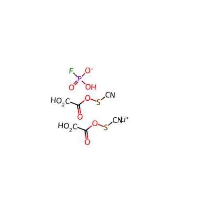 N#CSOC(=O)C(=O)O.N#CSOC(=O)C(=O)O.O=P([O-])(O)F.[Li+]